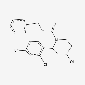 N#Cc1ccc(C2CC(O)CCN2C(=O)OCc2ccccc2)c(Cl)c1